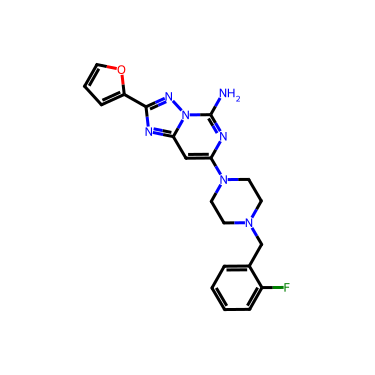 Nc1nc(N2CCN(Cc3ccccc3F)CC2)cc2nc(-c3ccco3)nn12